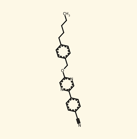 CCCCCc1ccc(COc2cnc(-c3ccc(C#N)cc3)cn2)cc1